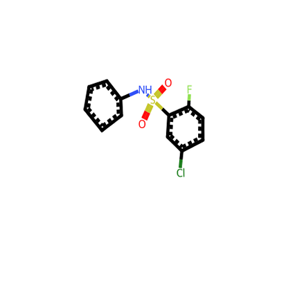 O=S(=O)(Nc1ccccc1)c1cc(Cl)ccc1F